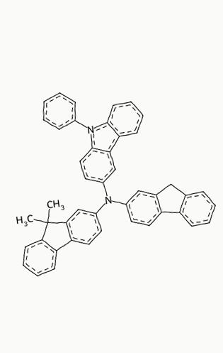 CC1(C)c2ccccc2-c2ccc(N(c3ccc4c(c3)Cc3ccccc3-4)c3ccc4c(c3)c3ccccc3n4-c3ccccc3)cc21